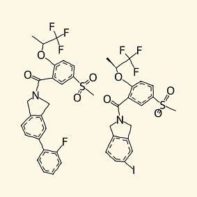 CC(Oc1ccc(S(C)(=O)=O)cc1C(=O)N1Cc2ccc(-c3ccccc3F)cc2C1)C(F)(F)F.C[C@H](Oc1ccc(S(C)(=O)=O)cc1C(=O)N1Cc2ccc(I)cc2C1)C(F)(F)F